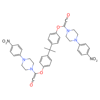 CC(C)(c1ccc(OC(=C=O)N2CCN(c3ccc([N+](=O)[O-])cc3)CC2)cc1)c1ccc(OC(=C=O)N2CCN(c3ccc([N+](=O)[O-])cc3)CC2)cc1